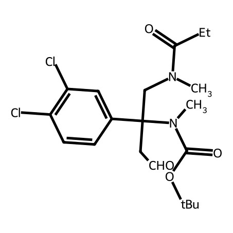 CCC(=O)N(C)CC(CC=O)(c1ccc(Cl)c(Cl)c1)N(C)C(=O)OC(C)(C)C